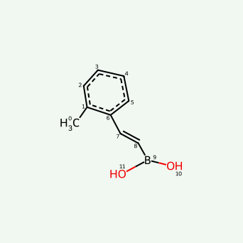 Cc1ccccc1C=CB(O)O